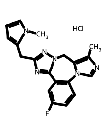 Cc1ncn2c1Cn1nc(Cc3cccn3C)nc1-c1cc(F)ccc1-2.Cl